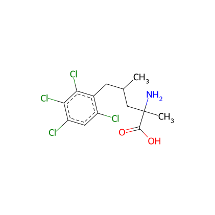 CC(Cc1c(Cl)cc(Cl)c(Cl)c1Cl)CC(C)(N)C(=O)O